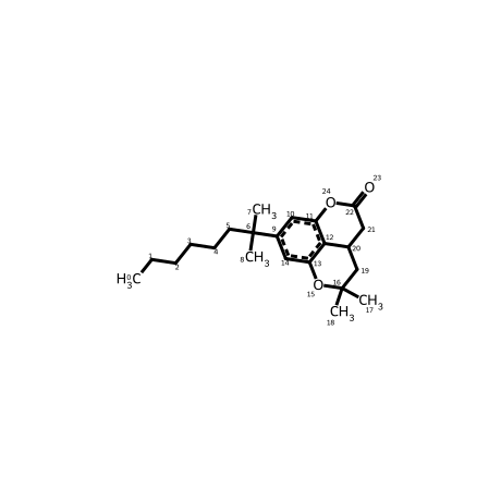 CCCCCCC(C)(C)c1cc2c3c(c1)OC(C)(C)CC3CC(=O)O2